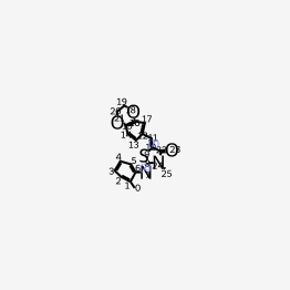 Cc1ccccc1/N=C1\S/C(=C\c2ccc3c(c2)OCCO3)C(=O)N1C